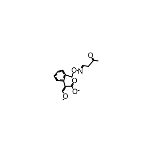 COC=C(C(=O)OC)c1ccccc1CON=CCC(C)=O